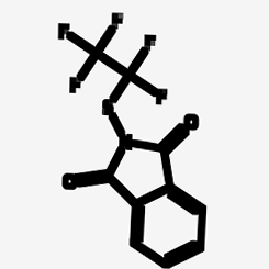 O=C1c2ccccc2C(=O)N1SC(F)(F)C(F)(F)F